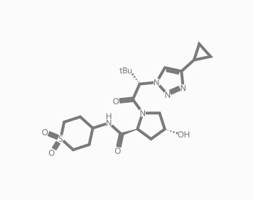 CC(C)(C)[C@@H](C(=O)N1C[C@H](O)C[C@H]1C(=O)NC1CCS(=O)(=O)CC1)n1cc(C2CC2)nn1